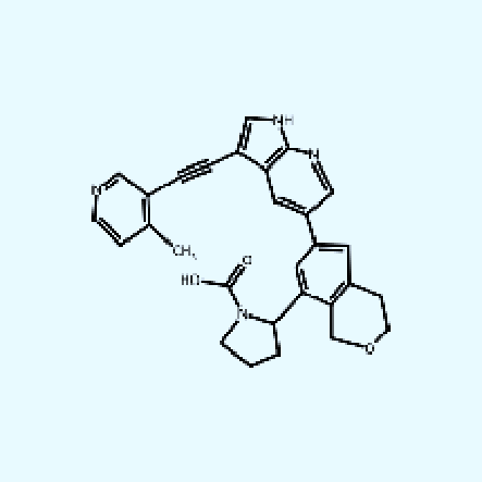 Cc1ccncc1C#Cc1c[nH]c2ncc(-c3cc4c(c(C5CCCN5C(=O)O)c3)COCC4)cc12